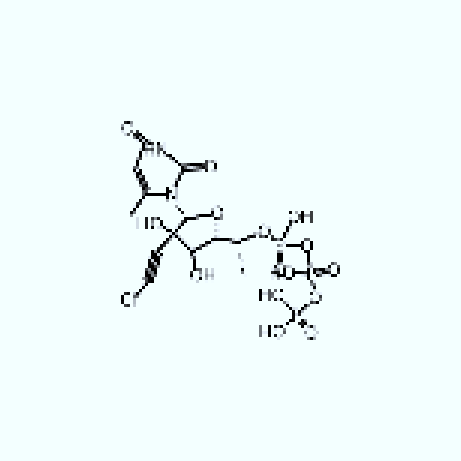 Cc1cc(=O)[nH]c(=O)n1[C@@H]1O[C@H]([C@@H](C)OP(=O)(O)OP(=O)(O)OP(=O)(O)O)C(O)C1(O)C#CCl